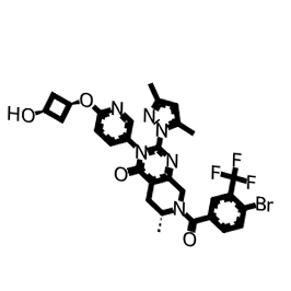 Cc1cc(C)n(-c2nc3c(c(=O)n2-c2ccc(O[C@H]4C[C@@H](O)C4)nc2)C[C@@H](C)N(C(=O)c2ccc(Br)c(C(F)(F)F)c2)C3)n1